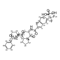 NCCCC(NC(=O)c1cc2cc(C(F)(F)P(=O)(O)O)ccc2s1)C(=O)N1CCC[C@H]1C(=O)N1CCO[C@H](c2ccccc2)C1